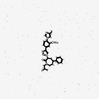 COc1cc(-c2cn(C3CC(c4ccccc4)CCN(CC(F)F)C3=O)nn2)ccc1-n1cnc(C)c1